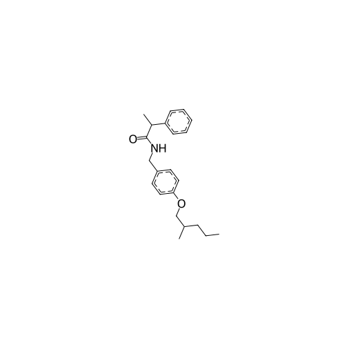 CCCC(C)COc1ccc(CNC(=O)C(C)c2ccccc2)cc1